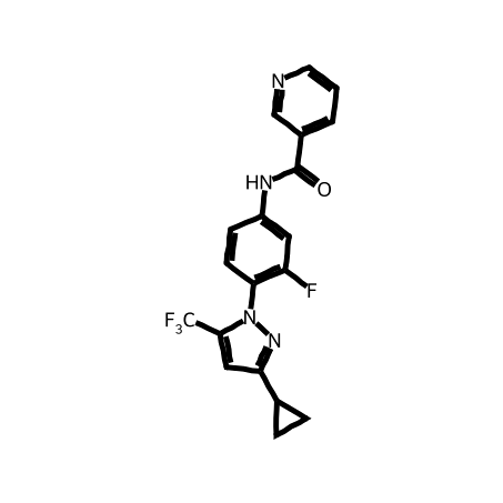 O=C(Nc1ccc(-n2nc(C3CC3)cc2C(F)(F)F)c(F)c1)c1cccnc1